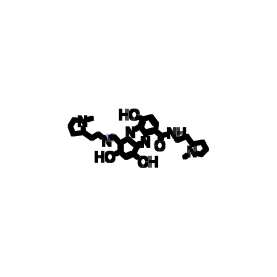 CN1CCCC1CC/N=C/c1c(O)cc(O)c2nc3c(C(=O)NCCC4CCCN4C)ccc(O)c3nc12